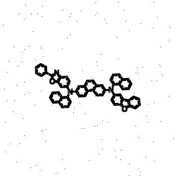 c1ccc(-c2nc3ccc(N(c4ccc5c(ccc6cc(N(c7ccc8oc9ccccc9c8c7)c7cccc8ccccc78)ccc65)c4)c4cccc5ccccc45)cc3o2)cc1